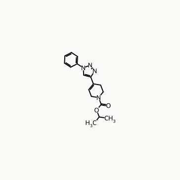 CC(C)OC(=O)N1CC=C(c2cn(-c3ccccc3)nn2)CC1